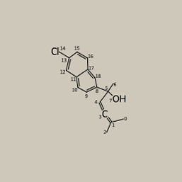 CC(C)=C=CC(C)(O)c1ccc2cc(Cl)ccc2c1